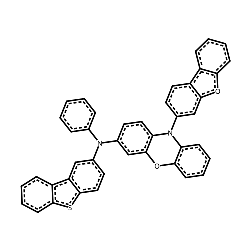 c1ccc(N(c2ccc3c(c2)Oc2ccccc2N3c2ccc3c(c2)oc2ccccc23)c2ccc3sc4ccccc4c3c2)cc1